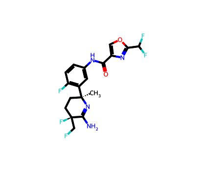 C[C@@]1(c2cc(NC(=O)c3coc(C(F)F)n3)ccc2F)CC[C@@](F)(CF)C(N)=N1